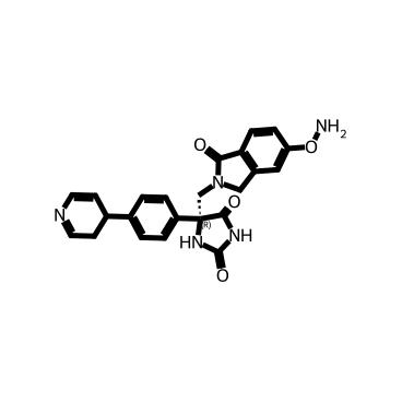 NOc1ccc2c(c1)CN(C[C@@]1(c3ccc(C4C=CN=CC4)cc3)NC(=O)NC1=O)C2=O